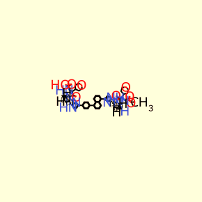 COC(=O)NC(C(=O)N1[C@@H]2C[C@@H]2C[C@H]1c1nc(-c2cccc3c(-c4ccc(-c5c[nH]c([C@@H]6C[C@H]7C[C@H]7N6C(=O)C(NC(=O)O)C6CCOCC6)n5)cc4)cccc23)c[nH]1)C1CCOCC1